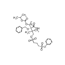 CC(C)OC(=O)OC(C)[C@@](OCc1ccccc1)(C(=O)O)C(C)(C)COS(=O)(=O)CCCS(=O)(=O)Oc1ccccc1